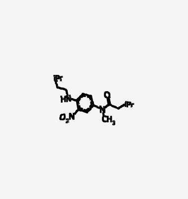 CC(C)CCNc1ccc(N(C)C(=O)CC(C)C)cc1[N+](=O)[O-]